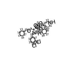 CS(=O)(=O)[N+]1(NC(=O)C(COCc2ccccc2)NCc2ccc(Cl)c(Cl)c2)CC2(CCNCC2)c2ccccc21